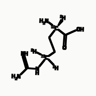 [2H][13C]([2H])(CC[13C@]([2H])(N)C(=O)O)NC(=N)N